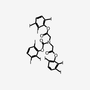 O=C(CN(CC(=O)Oc1c(I)ccc(I)c1I)C(=O)Oc1c(I)ccc(I)c1I)Oc1c(I)ccc(I)c1I